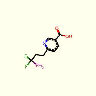 O=C(O)c1ccc(CCC(F)(F)P)nc1